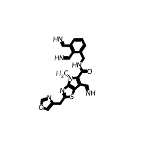 Cn1c(C(=O)NCc2cccc(C=N)c2C=N)c(C=N)c2sc(Cc3cocn3)nc21